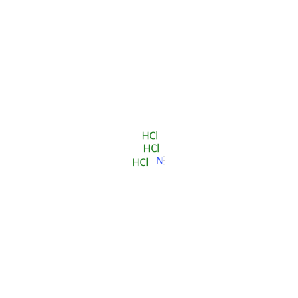 Cl.Cl.Cl.[N]